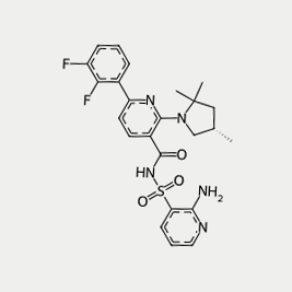 C[C@@H]1CN(c2nc(-c3cccc(F)c3F)ccc2C(=O)NS(=O)(=O)c2cccnc2N)C(C)(C)C1